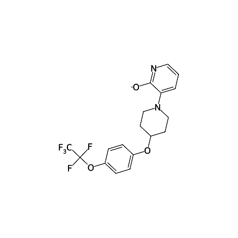 [O]c1ncccc1N1CCC(Oc2ccc(OC(F)(F)C(F)(F)F)cc2)CC1